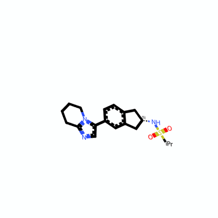 CC(C)S(=O)(=O)N[C@H]1Cc2ccc(-c3cnc4n3CCCC4)cc2C1